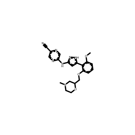 COc1cccc(OCC2CN(C)CCO2)c1-c1cc(Nc2cnc(C#N)cn2)n[nH]1